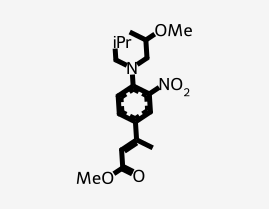 COC(=O)/C=C(\C)c1ccc(N(CC(C)C)CC(C)OC)c([N+](=O)[O-])c1